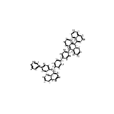 c1cncc(-c2ccc(N(c3ccc(-c4ccc(-c5c6ccccc6c(-c6cccc7ccccc67)c6ccccc56)cc4)cc3)c3cccc4cccnc34)cc2)c1